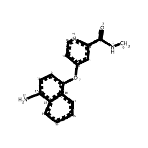 CNC(=O)c1cc(Oc2ccc(N)c3ccccc23)ccn1